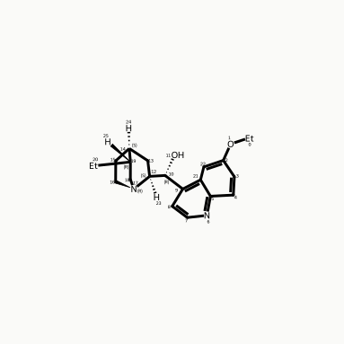 CCOc1ccc2nccc([C@@H](O)[C@@H]3C[C@@H]4CC[N@@]3C[C@@H]4CC)c2c1